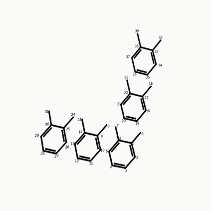 Cc1ccccc1C.Cc1ccccc1C.Cc1ccccc1C.Cc1ccccc1C.Cc1ccccc1C